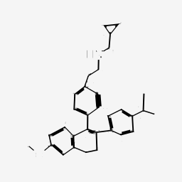 COc1ccc2c(c1)CCC(c1ccc(C(C)C)cc1)=C2c1c#cc(CCNCC2CC2)cc1